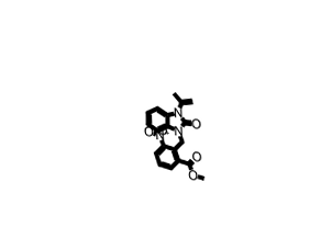 C=C(C)n1c(=O)n(Cc2c(C(=O)OC)cccc2[N+](=O)[O-])c2ccccc21